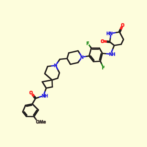 COc1cccc(C(=O)NC2CC3(CCN(CC4CCN(c5cc(F)c(NC6CCC(=O)NC6=O)cc5F)CC4)CC3)C2)c1